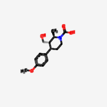 COc1ccc(C2CCN(C(=O)O)[C@H](C)[C@H]2CO)cc1